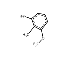 C[C](C)c1cccc(OC(F)(F)F)c1C